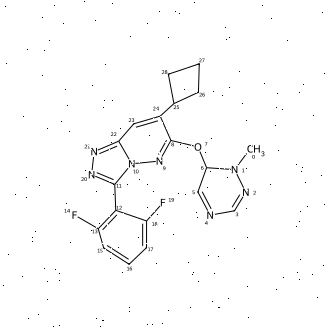 CN1N=CN=CC1Oc1nn2c(-c3c(F)cccc3F)nnc2cc1C1CCC1